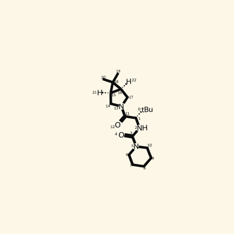 CC(C)(C)[C@H](NC(=O)N1CCCCC1)C(=O)N1C[C@@H]2[C@H](C1)C2(C)C